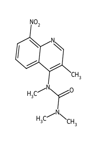 Cc1cnc2c([N+](=O)[O-])cccc2c1N(C)C(=O)N(C)C